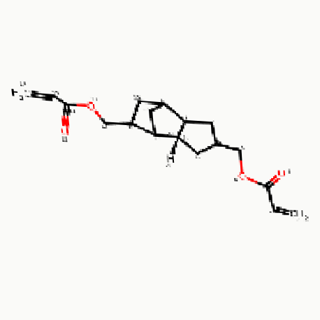 C=CC(=O)OCC1CC2C3CC(COC(=O)C=C)C(C3)[C@H]2C1